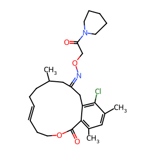 Cc1cc(C)c2c(c1Cl)C/C(=N/OCC(=O)N1CCCCC1)CC(C)CC/C=C/CCOC2=O